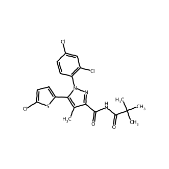 Cc1c(C(=O)NC(=O)C(C)(C)C)nn(-c2ccc(Cl)cc2Cl)c1-c1ccc(Cl)s1